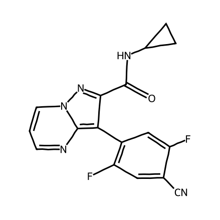 N#Cc1cc(F)c(-c2c(C(=O)NC3CC3)nn3cccnc23)cc1F